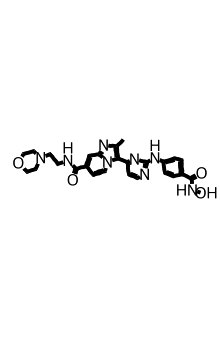 Cc1nc2cc(C(=O)NCCN3CCOCC3)ccn2c1-c1ccnc(Nc2ccc(C(=O)NO)cc2)n1